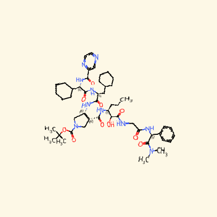 CCC[C@H](NC(=O)[C@@H]1CN(C(=O)OC(C)(C)C)C[C@@H]1NC(=O)[C@H](CC1CCCCC1)NC(=O)[C@@H](NC(=O)c1cnccn1)C1CCCCC1)C(O)C(=O)NCC(=O)N[C@H](C(=O)N(C)C)c1ccccc1